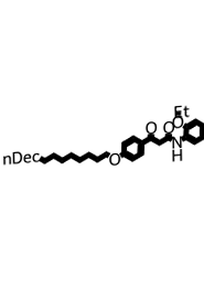 CCCCCCCCCCCCCCCCCCOc1ccc(C(=O)CC(=O)Nc2ccccc2OCC)cc1